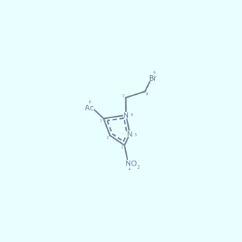 CC(=O)c1cc([N+](=O)[O-])nn1CCBr